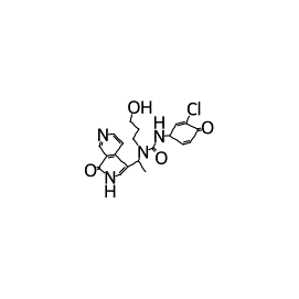 CC(c1c[nH]c(=O)c2cnccc12)N(CCCO)C(=O)NC1C=CC(=O)C(Cl)=C1